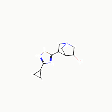 OC1CN2CC(c3nc(C4CC4)ns3)C1C2